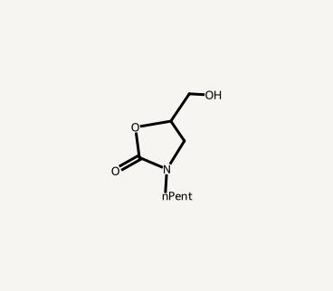 CCCCCN1CC(CO)OC1=O